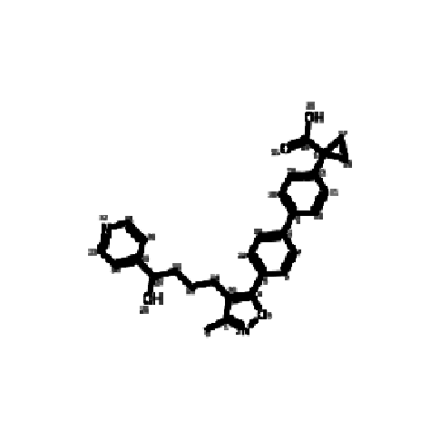 Cc1noc(-c2ccc(-c3ccc(C4(C(=O)O)CC4)cc3)cc2)c1CCCC(O)c1ccncc1